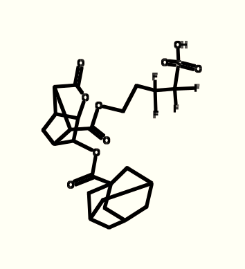 O=C1OC2C3CC(C2OC(=O)C24CC5CC(CC(C5)C2)C4)C(C(=O)OCCC(F)(F)C(F)(F)S(=O)(=O)O)C13